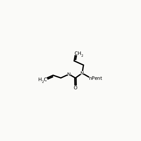 C=CC[N]C(=O)N(CC=C)CCCCC